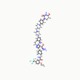 COc1ccc(C(F)(F)F)cc1C(=O)NCc1ccc(-c2nn3c(c2C(N)=O)Nc2ccc(N4CCN(CC5CCN(c6ccc(N7CCC(=O)NC7=O)cc6)CC5)CC4)cc2CC3)cc1F